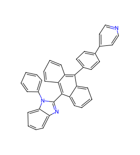 c1ccc(-n2c(-c3c4ccccc4c(-c4ccc(-c5ccncc5)cc4)c4ccccc34)nc3ccccc32)cc1